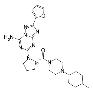 CC1CCC(N2CCN(C(=O)[C@@H]3CCCN3c3nc(N)n4nc(-c5ccco5)nc4n3)CC2)CC1